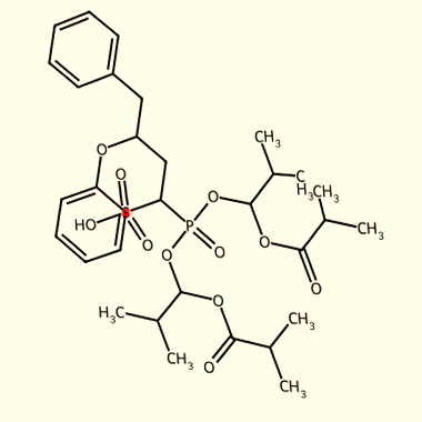 CC(C)C(=O)OC(OP(=O)(OC(OC(=O)C(C)C)C(C)C)C(CC(Cc1ccccc1)Oc1ccccc1)S(=O)(=O)O)C(C)C